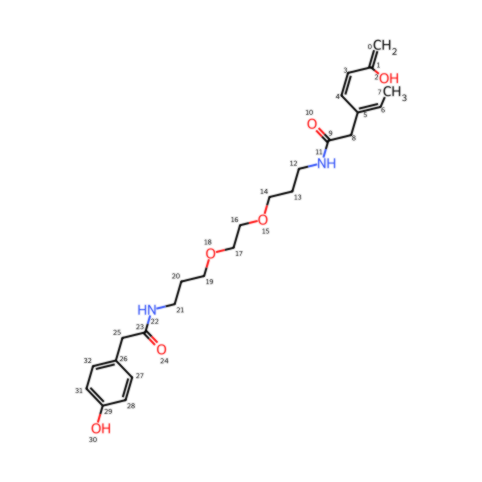 C=C(O)/C=C\C(=C/C)CC(=O)NCCCOCCOCCCNC(=O)Cc1ccc(O)cc1